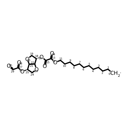 [CH2]CCCCCCCCCCCOC(=O)C(=O)O[C@H]1COC2C1OC[C@H]2OC(=O)C=O